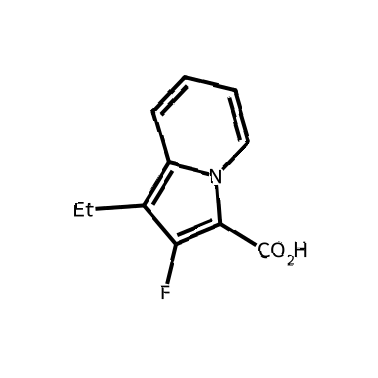 CCc1c(F)c(C(=O)O)n2ccccc12